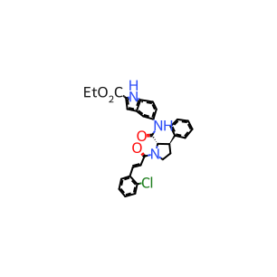 CCOC(=O)c1cc2cc(NC(=O)[C@@H]3[C@@H](c4ccccc4)CCN3C(=O)/C=C/c3ccccc3Cl)ccc2[nH]1